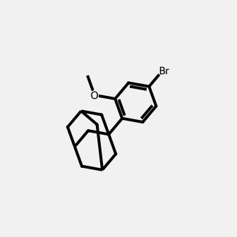 COc1cc(Br)ccc1C12CC3CC(CC(C3)C1)C2